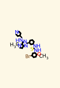 COc1ccc(Br)cc1NC(=S)Nc1cccc(-c2nc(NCc3ccncc3)c3c(ccn3C)n2)c1